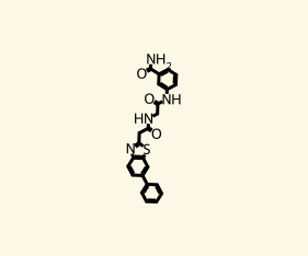 NC(=O)c1cccc(NC(=O)CNC(=O)Cc2nc3ccc(-c4ccccc4)cc3s2)c1